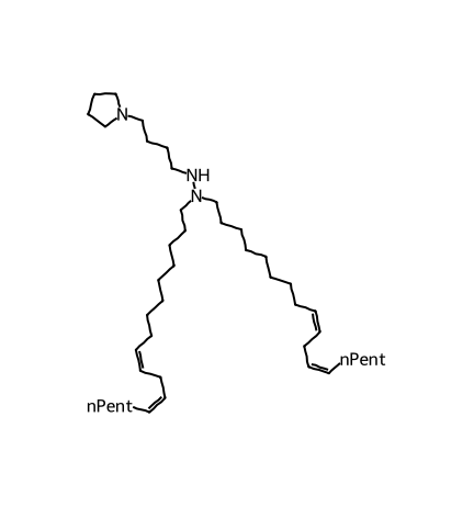 CCCCC/C=C\C/C=C\CCCCCCCCN(CCCCCCCC/C=C\C/C=C\CCCCC)NCCCCN1CCCC1